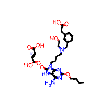 CCCCOc1nc(N)c2[nH]c(=O)n(CCCCN(CCO)Cc3cccc(CC(=O)O)c3)c2n1.O=C(O)/C=C/C(=O)O